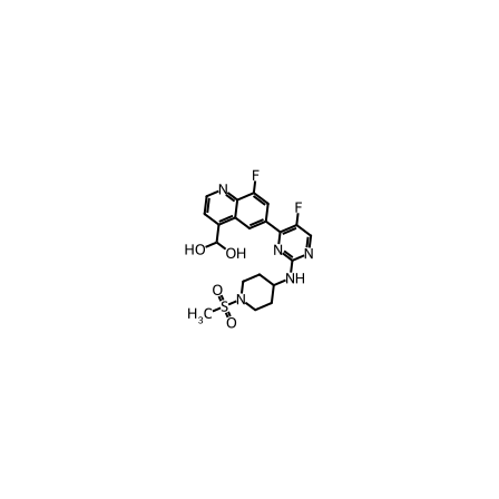 CS(=O)(=O)N1CCC(Nc2ncc(F)c(-c3cc(F)c4nccc(C(O)O)c4c3)n2)CC1